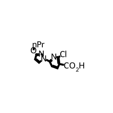 CCCOc1ccn(-c2ccc(C(=O)O)c(Cl)n2)n1